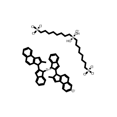 CC1=Cc2c(ccc3ccccc23)C1C1=Cc2ccccc2[CH]1[Zr+2][CH]1C(C2C(C)=Cc3c2ccc2ccccc32)=Cc2ccccc21.O[Si](O)(CCCCCCCC[Si](Cl)(Cl)Cl)CCCCCCCC[Si](Cl)(Cl)Cl.[Cl-].[Cl-]